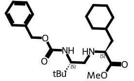 COC(=O)[C@H](CC1CCCCC1)NC[C@@H](NC(=O)OCc1ccccc1)C(C)(C)C